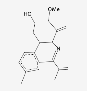 C=C(C)C1=NC(C(=C)COC)C(CCO)c2ccc(C)cc21